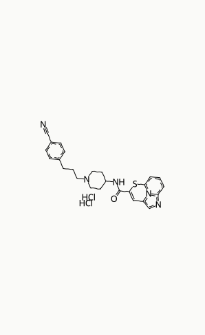 Cl.Cl.N#Cc1ccc(CCCN2CCC(NC(=O)C3=Cc4cnc5cccc(n45)S3)CC2)cc1